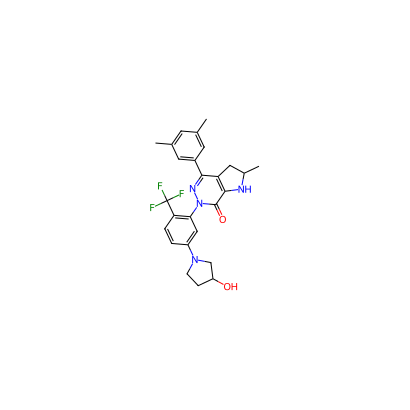 Cc1cc(C)cc(-c2nn(-c3cc(N4CCC(O)C4)ccc3C(F)(F)F)c(=O)c3c2CC(C)N3)c1